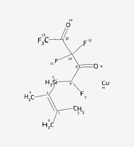 CC(C)=C(C)[SiH2]C(F)C(=O)C(F)(F)C(=O)C(F)(F)F.[Cu]